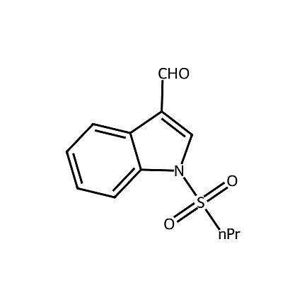 CCCS(=O)(=O)n1cc(C=O)c2ccccc21